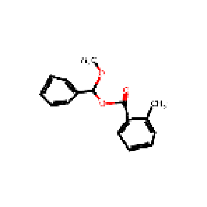 [CH2]c1ccccc1C(=O)OC(OC)c1ccccc1